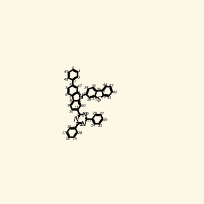 c1ccc(-c2ccc3c4ccc(-c5nc(-c6ccccc6)nc(-c6ccccc6)n5)cc4n(-c4ccc5c(c4)sc4ccccc45)c3c2)cc1